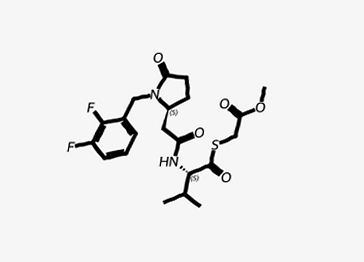 COC(=O)CSC(=O)[C@@H](NC(=O)C[C@@H]1CCC(=O)N1Cc1cccc(F)c1F)C(C)C